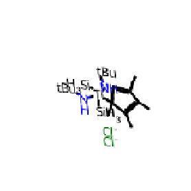 CC1=C[C](C)([Ti]([SiH3])([SiH3])([NH]C(C)(C)C)[NH]C(C)(C)C)C(C)=C1C.[Cl-].[Cl-]